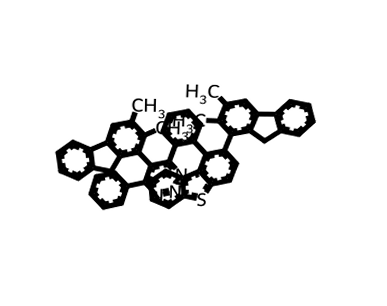 Cc1cc2c(c(-c3ccc4sc5ccccc5c4c3-c3ccccc3-c3nnnc(-c4ccccc4)c3-c3c(C)c(C)cc4c3Cc3ccccc3-4)c1C)Cc1ccccc1-2